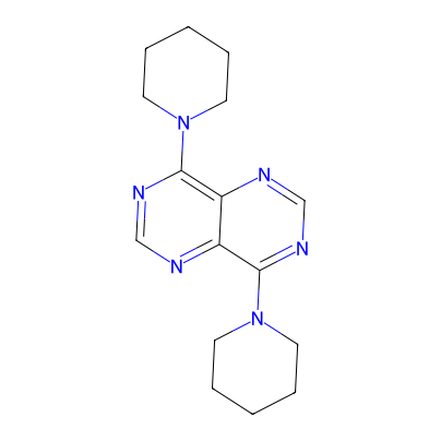 c1nc(N2CCCCC2)c2ncnc(N3CCCCC3)c2n1